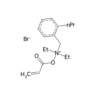 C=CC(=O)O[N+](CC)(CC)Cc1ccccc1CCC.[Br-]